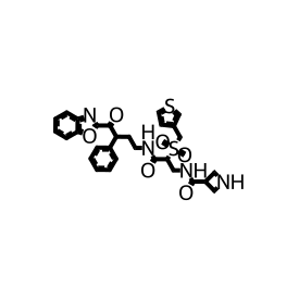 O=C(NCC(C(=O)NCCC(C(=O)c1nc2ccccc2o1)c1ccccc1)S(=O)(=O)Cc1ccsc1)C1CNC1